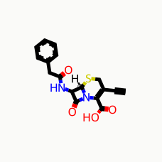 C#CC1=C(C(=O)O)N2C(=O)C(NC(=O)Cc3ccccc3)[C@H]2SC1